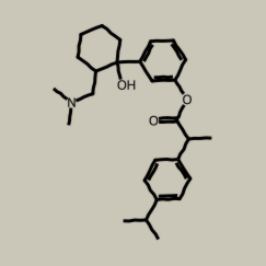 CC(C)c1ccc(C(C)C(=O)Oc2cccc(C3(O)CCCCC3CN(C)C)c2)cc1